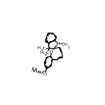 COc1ccc2c(c1)C=CC=CC1(O2)N(C)c2ccccc2C1(C)C